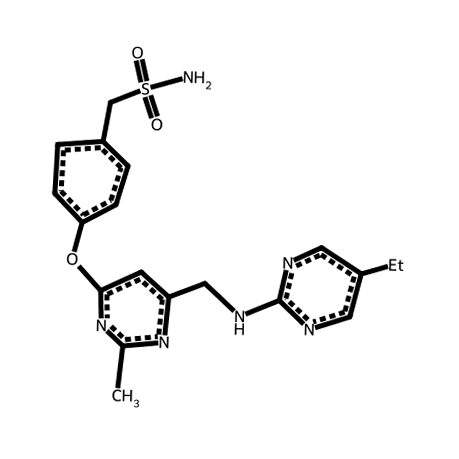 CCc1cnc(NCc2cc(Oc3ccc(CS(N)(=O)=O)cc3)nc(C)n2)nc1